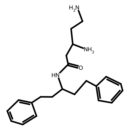 NCCC(N)CC(=O)NC(CCc1ccccc1)CCc1ccccc1